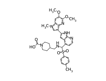 COc1cc2c(nc1OC)c(-c1cc3c(C(NCC4CCN(C(=O)O)CC4)S(=O)(=O)c4ccc(C)cc4)ccnc3[nH]1)cn2C